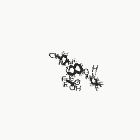 FC1(F)CN[C@@H](COc2ccc3c(Nc4ccc(Cl)nc4)nccc3c2)C1.O=C(O)C(F)(F)F